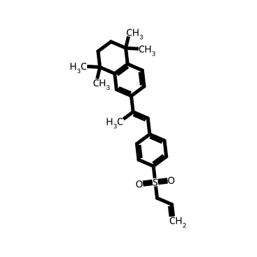 C=CCS(=O)(=O)c1ccc(C=C(C)c2ccc3c(c2)C(C)(C)CCC3(C)C)cc1